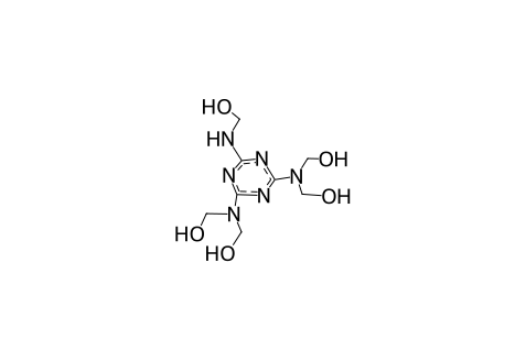 OCNc1nc(N(CO)CO)nc(N(CO)CO)n1